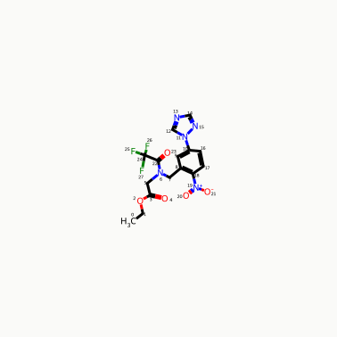 CCOC(=O)CN(Cc1cc(-n2cncn2)ccc1[N+](=O)[O-])C(=O)C(F)(F)F